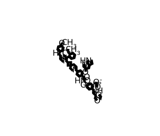 COc1ccc(CN2CCN(C3CC4(CCN(c5ccc(C(=O)NS(=O)(=O)c6ccc(NCC7COCCO7)c([N+](=O)[O-])c6)c(Oc6cnc7[nH]ccc7c6)c5)CC4)C3)C(c3ccccc3C(C)C)C2)cc1